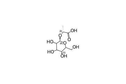 C[C@@H](O[C@H]1OC(CO)[C@@H](O)C(O)C1O)C(=O)O